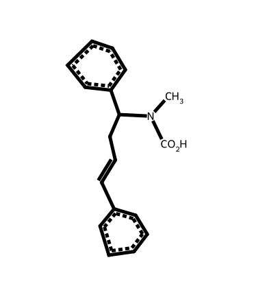 CN(C(=O)O)C(CC=Cc1ccccc1)c1ccccc1